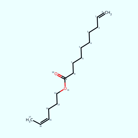 C=CCCCCCCCC(=O)OCCC/C=C\C